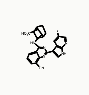 N#Cc1cccc2c(NC3C4CCC(CC4)C3C(=O)O)nc(-c3c[nH]c4ncc(F)cc34)nc12